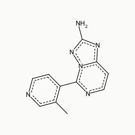 Cc1cnccc1-c1nccc2nc(N)nn12